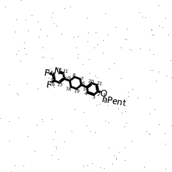 CCCCCOc1ccc(C2CCC(c3cnc(F)c(F)c3)CC2)cc1